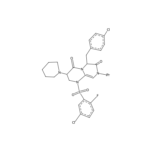 CC(C)N1C=C2N(C(=O)C(N3CCCCC3)CN2S(=O)(=O)c2cc(Cl)ccc2F)C(Cc2ccc(Cl)cc2)C1=O